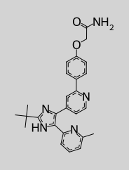 Cc1cccc(-c2[nH]c(C(C)(C)C)nc2-c2ccnc(-c3ccc(OCC(N)=O)cc3)c2)n1